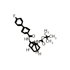 CC(C)(C)OC(=O)NC12C[C@H]3C[C@@H](C1)CC(NC(=O)c1ccc(-c4ccc(F)cc4)cc1)(C3)C2